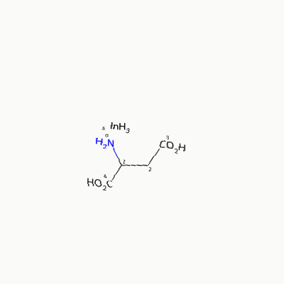 NC(CC(=O)O)C(=O)O.[InH3]